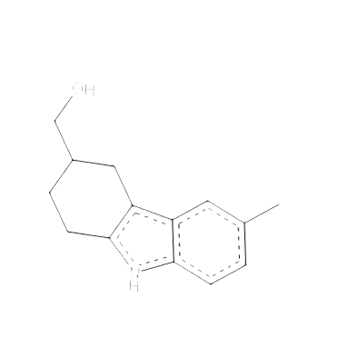 Cc1ccc2[nH]c3c(c2c1)CC(CO)CC3